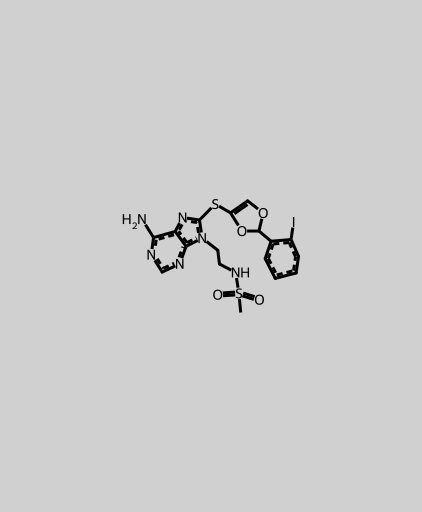 CS(=O)(=O)NCCn1c(SC2=COC(c3ccccc3I)O2)nc2c(N)ncnc21